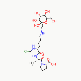 C[C@H](NC(=O)[C@H](CCCCNCCC1(O)O[C@H](CO)[C@H](O)[C@H](O)[C@H]1O)NCCl)C(=O)N1CCC[C@H]1C(=O)O